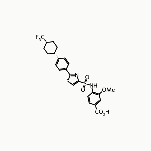 COc1cc(C(=O)O)ccc1NS(=O)(=O)c1csc(-c2ccc([C@H]3CC[C@H](C(F)(F)F)CC3)cc2)n1